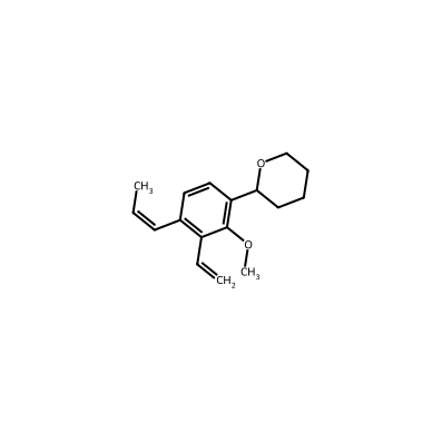 C=Cc1c(/C=C\C)ccc(C2CCCCO2)c1OC